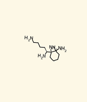 CC1(N)CCCCC1(N)C(N)CCCCN